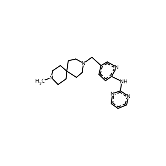 CN1CCC2(CC1)CCN(Cc1ccc(Nc3ncccn3)nc1)CC2